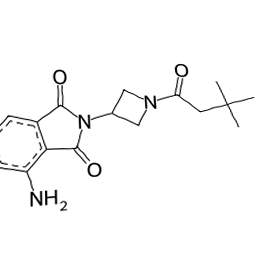 CC(C)(C)CC(=O)N1CC(N2C(=O)c3cccc(N)c3C2=O)C1